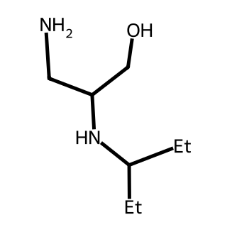 CCC(CC)NC(CN)CO